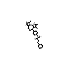 Cc1sc2c(c1C)C(c1ccc(NC(=O)CCc3ccccc3)cc1)=N[CH]c1nnc(C)n1-2